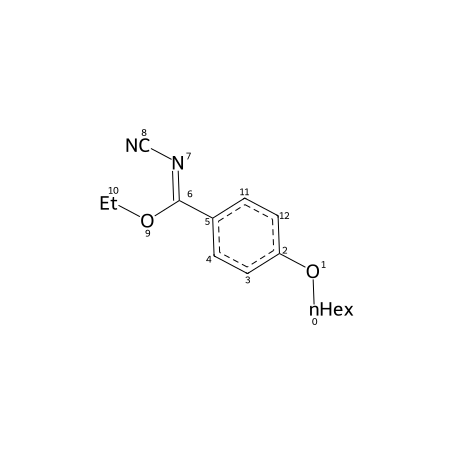 CCCCCCOc1ccc(C(=NC#N)OCC)cc1